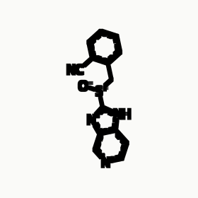 N#Cc1ccccc1C[S+]([O-])c1nc2cnccc2[nH]1